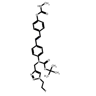 CNC(=O)Oc1ccc(/C=C/c2ccc(N(Cc3cn(CCF)nn3)C(=O)OC(C)(C)C)cc2)cc1